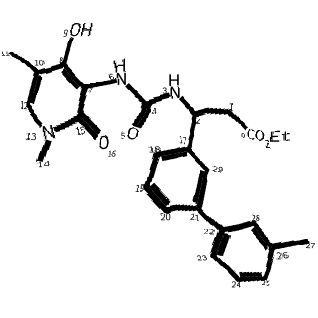 CCOC(=O)CC(NC(=O)Nc1c(O)c(C)cn(C)c1=O)c1cccc(-c2cccc(C)c2)c1